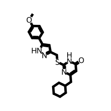 COc1ccc(-c2cc(CSc3nc(CC4CCCCC4)cc(=O)[nH]3)n[nH]2)cc1